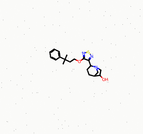 CC(C)(CCOc1nsnc1C1CCC2CN1CC2O)c1ccccc1